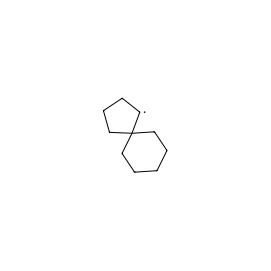 [CH]1CCCC12CCCCC2